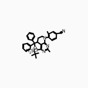 Cc1nc(Cl)c2c(n1)N(c1ccc(C#N)cc1C)CCC2C(O[SiH2]C(C)(C)C)(c1ccccc1)c1ccccc1